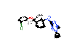 CC(C)(Oc1cccc(Cl)c1)c1cccc(Nc2ncn(C3CC3)n2)c1